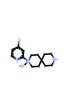 C[N+]1(c2cc(Cl)ccn2)CCC2(CCNCC2)CC1